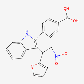 O=[N+]([O-])CC(c1ccco1)c1c(-c2ccc(B(O)O)cc2)[nH]c2ccccc12